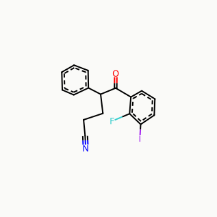 N#CCCC(C(=O)c1cccc(I)c1F)c1ccccc1